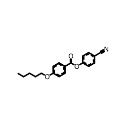 CCCCCOc1ccc(C(=O)Oc2ccc(C#N)cc2)cc1